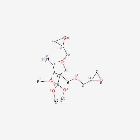 CCO[Si](OCC)(OCC)C(CCN)(COCC1CO1)COCC1CO1